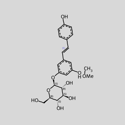 COC.OC[C@H]1O[C@@H](Oc2cc(O)cc(/C=C/c3ccc(O)cc3)c2)[C@H](O)[C@@H](O)[C@@H]1O